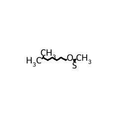 CC(=S)OCCCCCC(C)C